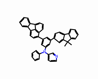 CC1(C)c2ccccc2-c2ccc(-c3cc(-c4ccc5c6c(cccc46)-c4ccccc4-5)cc(N(c4ccccc4)c4cccnc4)c3)cc21